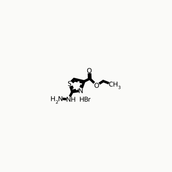 Br.CCOC(=O)c1csc(NN)n1